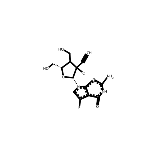 C#CC1(Cl)C(CO)[C@@H](CO)O[C@H]1n1cc(F)c2c(=O)[nH]c(N)nc21